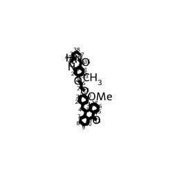 COc1cc(C=C2c3ccccc3C(=O)c3ccccc32)ccc1OCCOc1cc2c(cc1C)C(=O)N1CCC[C@H]1C=N2